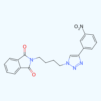 O=C1c2ccccc2C(=O)N1CCCCn1cc(-c2cccc([N+](=O)[O-])c2)nn1